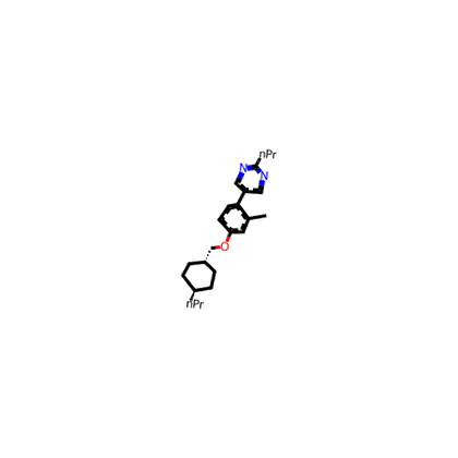 CCCc1ncc(-c2ccc(OC[C@H]3CC[C@H](CCC)CC3)cc2C)cn1